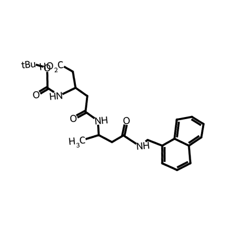 CC(CC(=O)NCc1cccc2ccccc12)NC(=O)CC(CC(=O)O)NC(=O)OC(C)(C)C